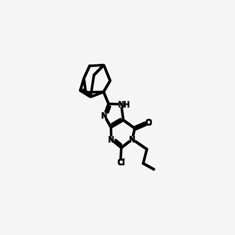 CCCn1c(Cl)nc2nc(C34CC5C=C3CC(C5)C4)[nH]c2c1=O